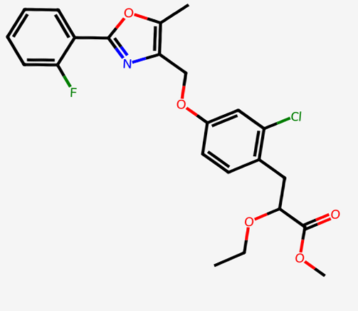 CCOC(Cc1ccc(OCc2nc(-c3ccccc3F)oc2C)cc1Cl)C(=O)OC